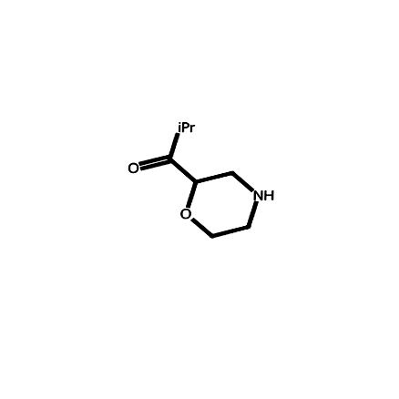 CC(C)C(=O)C1CNCCO1